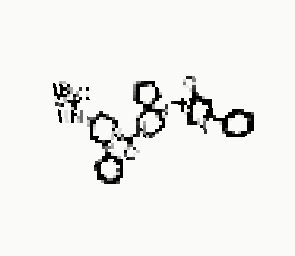 CC(C)(C)OC(=O)N[C@@H]1CCN(C(=O)N2CC[C@@H](Cn3cnc(-c4ccccc4)cc3=O)C3(CCCC3)C2)[C@H](c2ccccc2)C1